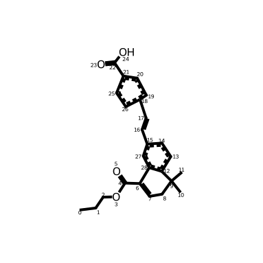 CCCOC(=O)C1=CCC(C)(C)c2ccc(C=Cc3ccc(C(=O)O)cc3)cc21